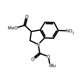 COC(=O)C1CN(C(=O)OC(C)(C)C)c2cc([N+](=O)[O-])ccc21